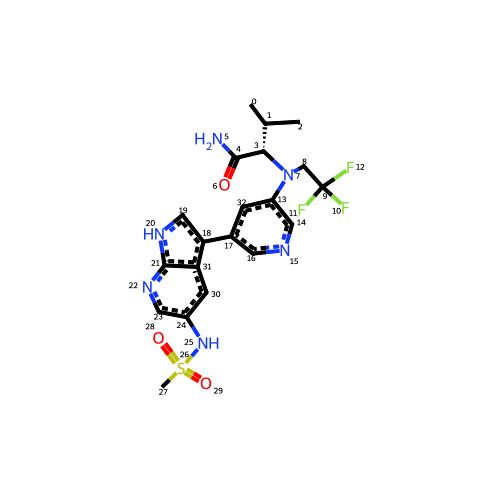 CC(C)[C@@H](C(N)=O)N(CC(F)(F)F)c1cncc(-c2c[nH]c3ncc(NS(C)(=O)=O)cc23)c1